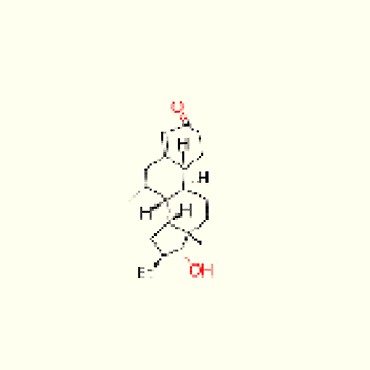 CC[C@H]1C[C@@H]2[C@H]3[C@H](CC[C@]2(C)[C@@H]1O)[C@H]1CCC(=O)C=C1C[C@H]3C